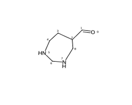 O=CC1CCNCNC1